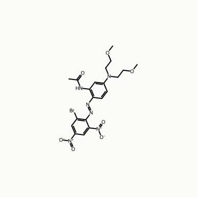 COCCN(CCOC)c1ccc(/N=N/c2c(Br)cc([N+](=O)[O-])cc2[N+](=O)[O-])c(NC(C)=O)c1